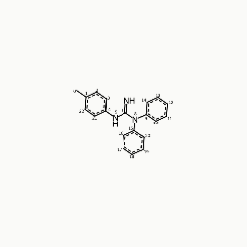 Cc1ccc(NC(=N)N(c2ccccc2)c2ccccc2)cc1